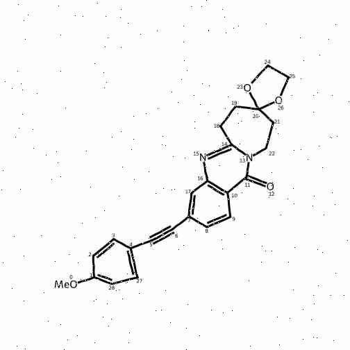 COc1ccc(C#Cc2ccc3c(=O)n4c(nc3c2)CCC2(CC4)OCCO2)cc1